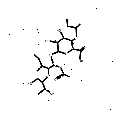 CCC(C)OC1C(C(=O)O)OC(OC(NC(C)=O)C(OC(CO)C(C)O)C(C)CC)C(O)C1O